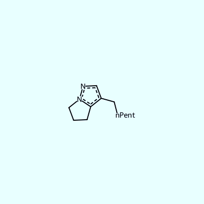 CCCCCCc1cnn2c1CCC2